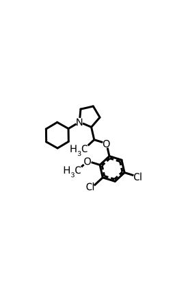 COc1c(Cl)cc(Cl)cc1OC(C)C1CCCN1C1CCCCC1